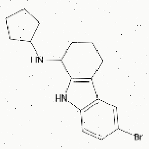 Brc1ccc2[nH]c3c(c2c1)CCCC3NC1CCCC1